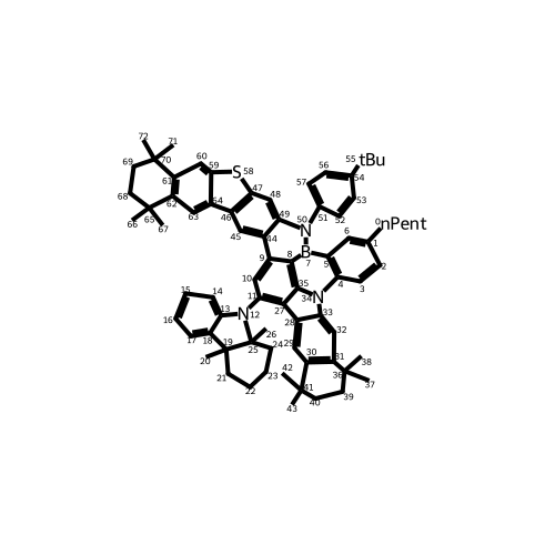 CCCCCc1ccc2c(c1)B1c3c(cc(N4c5ccccc5C5(C)CCCCC45C)c4c5cc6c(cc5n-2c34)C(C)(C)CCC6(C)C)-c2cc3c(cc2N1c1ccc(C(C)(C)C)cc1)sc1cc2c(cc13)C(C)(C)CCC2(C)C